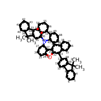 CC1(C)c2ccccc2-c2ccc(-c3c4ccccc4cc4c3oc3cccc(N(c5ccc6c(c5)C(C)(C)c5ccccc5-6)c5ccccc5-c5ccccc5)c34)cc21